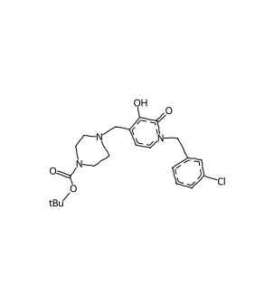 CC(C)(C)OC(=O)N1CCN(Cc2ccn(Cc3cccc(Cl)c3)c(=O)c2O)CC1